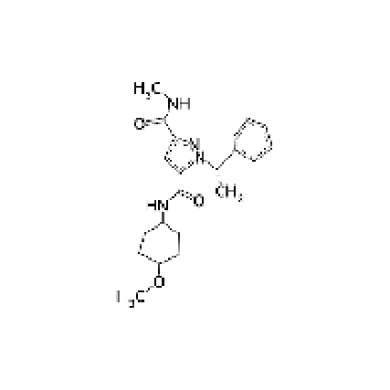 CNC(=O)c1cc(C(=O)NC2CCC(OC)CC2)n([C@@H](C)c2ccccc2)n1